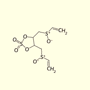 C=C[S+]([O-])CC1OS(=O)(=O)OC1C[S+]([O-])C=C